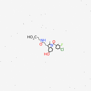 Cc1c(CCC(=O)NCCC(=O)O)c2cc(O)ccc2n1C(=O)c1ccc(Cl)c(F)c1